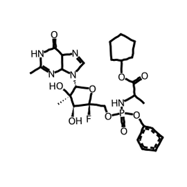 CC1=NC2C(N=CN2[C@@H]2O[C@](F)(COP(=O)(NC(C)C(=O)OC3CCCCC3)Oc3ccccc3)[C@@H](O)[C@@]2(C)O)C(=O)N1